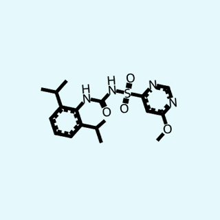 COc1cc(S(=O)(=O)NC(=O)Nc2c(C(C)C)cccc2C(C)C)ncn1